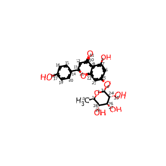 C[C@H]1O[C@@H](Oc2cc(O)c3c(=O)cc(-c4ccc(O)cc4)oc3c2)[C@H](O)[C@@H](O)[C@@H]1O